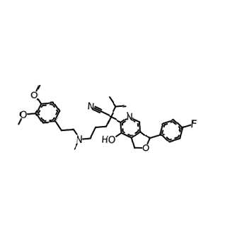 COc1ccc(CCN(C)CCCC(C#N)(c2ncc3c(c2O)COC3c2ccc(F)cc2)C(C)C)cc1OC